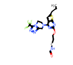 CCCc1cc2c(N3CCn4c(nnc4C(F)(F)F)C3)nc(OCCCNC=O)nc2s1